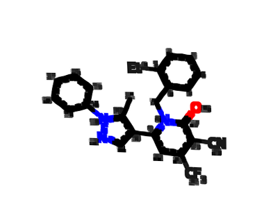 CCc1ccccc1Cn1c(-c2cnn(-c3ccccc3)c2C)cc(C(F)(F)F)c(C#N)c1=O